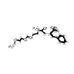 COCCOCOCCN(C)C(=O)C[C@@H](Cc1ccccc1)C(=O)O